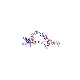 CC(C)[C@@H](C(=O)N1CCC[C@H]1C(=O)OC(C)(C)C)c1cc(N2CCC(CN3CCC(O[C@H]4C[C@H](Oc5cc(N6C7CCC6CN(c6cc(-c8ccccc8O)[nH]c6N)C7)ccn5)C4)CC3)CC2)no1